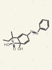 CCC(C)C1=CC(/N=N/c2ccccc2)C=CC1(O)S(=O)(=O)O